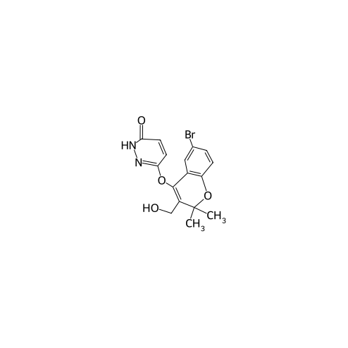 CC1(C)Oc2ccc(Br)cc2C(Oc2ccc(=O)[nH]n2)=C1CO